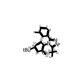 Cc1cccc(-c2nnc(C(C)(C)C(C)(C)C)n2-c2ccc(C(C)(C)C)cc2C)c1